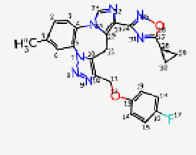 Cc1ccc2c(c1)-n1nnc(COc3ccc(F)cc3)c1Cc1c(-c3noc(C4CC4)n3)ncn1-2